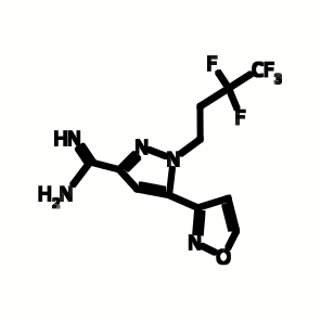 N=C(N)c1cc(-c2ccon2)n(CCC(F)(F)C(F)(F)F)n1